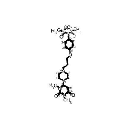 Cn1c(N2CCN(CCCOc3ccc(N(S(C)(=O)=O)S(C)(=O)=O)cc3)CC2)cc(=O)n(C)c1=O